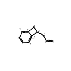 C=CCC1Cc2ccccc21